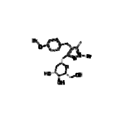 Cc1c(Cc2ccc(OC(C)C)cc2)c(C[C@H]2C[C@@H](O)[C@H](O)[C@@H](CO)O2)nn1C(C)C